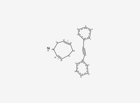 C(#Cc1ccccc1)c1ccccc1.C1=C\CC/C=C\CC/1.[Ni]